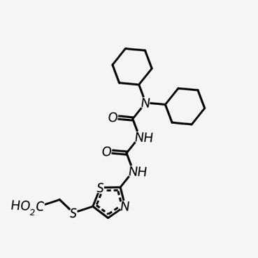 O=C(O)CSc1cnc(NC(=O)NC(=O)N(C2CCCCC2)C2CCCCC2)s1